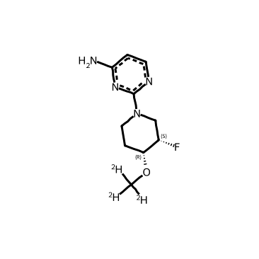 [2H]C([2H])([2H])O[C@@H]1CCN(c2nccc(N)n2)C[C@@H]1F